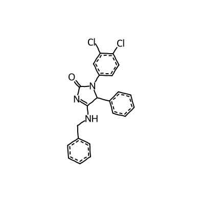 O=C1N=C(NCc2ccccc2)C(c2ccccc2)N1c1ccc(Cl)c(Cl)c1